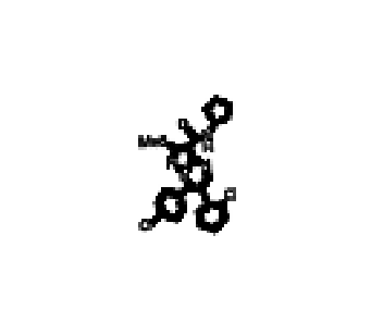 CSc1nn2c(-c3ccc(Cl)cc3)c(-c3ccccc3Cl)cnc2c1C(=O)NC1CCCC1